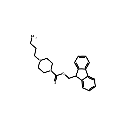 NCCCN1CCN(C(=O)OCC2c3ccccc3-c3ccccc32)CC1